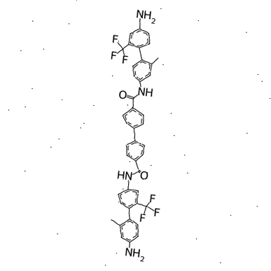 Cc1cc(NC(=O)c2ccc(-c3ccc(C(=O)Nc4ccc(-c5ccc(N)cc5C)c(C(F)(F)F)c4)cc3)cc2)ccc1-c1ccc(N)cc1C(F)(F)F